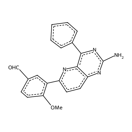 COc1ccc(C=O)cc1-c1ccc2nc(N)nc(-c3ccccc3)c2n1